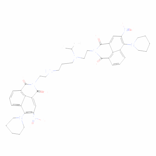 CC(C)N(CCCNCCN1C(=O)c2cccc3c(N4CCCCC4)c([N+](=O)[O-])cc(c23)C1=O)CCN1C(=O)c2cccc3c(N4CCCCC4)c([N+](=O)[O-])cc(c23)C1=O